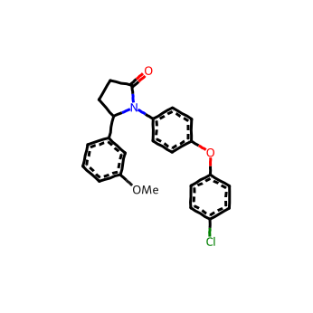 COc1cccc(C2CCC(=O)N2c2ccc(Oc3ccc(Cl)cc3)cc2)c1